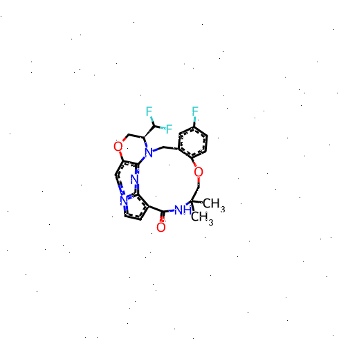 CC1(C)COc2ccc(F)cc2CN2c3nc4c(ccn4cc3OC[C@H]2C(F)F)C(=O)N1